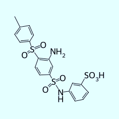 Cc1ccc(S(=O)(=O)c2ccc(S(=O)(=O)Nc3cccc(S(=O)(=O)O)c3)cc2N)cc1